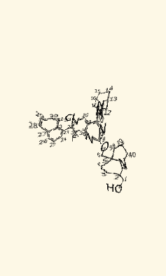 OCC1CCC2(COc3nc(N4CC5CCC(C4)N5)c4cnc(-c5cccc6cccc(Cl)c56)c(F)c4n3)CCCN12